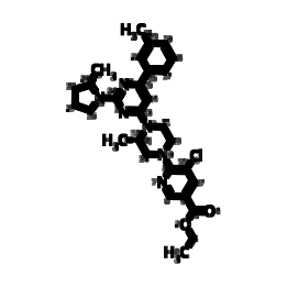 CCOC(=O)c1cnc(N2CCN(c3cc(-c4cccc(C)c4)nc(N4CCCC4C)n3)[C@H](C)C2)c(Cl)c1